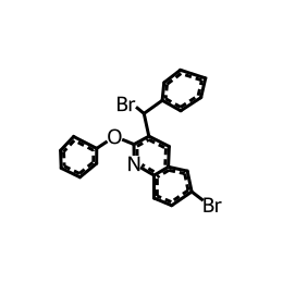 Brc1ccc2nc(Oc3ccccc3)c(C(Br)c3ccccc3)cc2c1